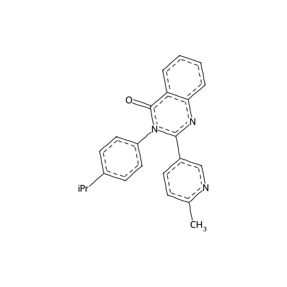 Cc1ccc(-c2nc3ccccc3c(=O)n2-c2ccc(C(C)C)cc2)cn1